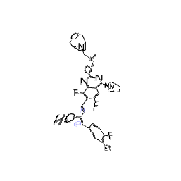 CCc1cc(/C=C(O)\C=C\c2c(F)cc3c(N4CC5CCC(C4)N5)nc(OC[C@H](C)CN4C5CCC4COC5)nc3c2F)ccc1F